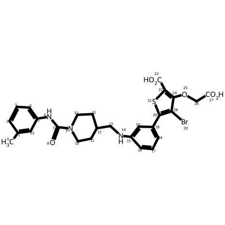 Cc1cccc(NC(=O)N2CCC(CNc3cccc(-c4sc(C(=O)O)c(OCC(=O)O)c4Br)c3)CC2)c1